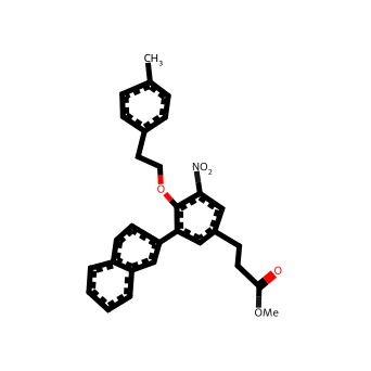 COC(=O)CCc1cc(-c2ccc3ccccc3c2)c(OCCc2ccc(C)cc2)c([N+](=O)[O-])c1